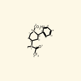 CN(C(=O)C(F)(F)F)C1CCN(C(=O)O)C(c2ccccc2)C1